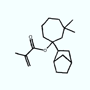 C=C(C)C(=O)OC1(C2CC3CCC2C3)CCCCC(C)(C)C1